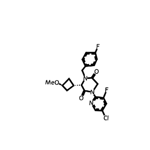 CO[C@H]1C[C@H](C2C(=O)N(c3ncc(Cl)cc3F)CC(=O)N2Cc2ccc(F)cc2)C1